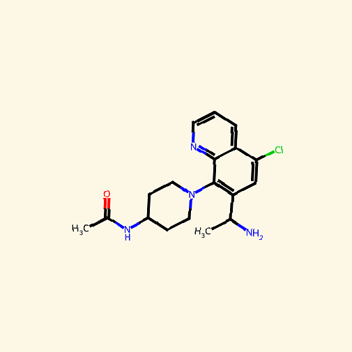 CC(=O)NC1CCN(c2c(C(C)N)cc(Cl)c3cccnc23)CC1